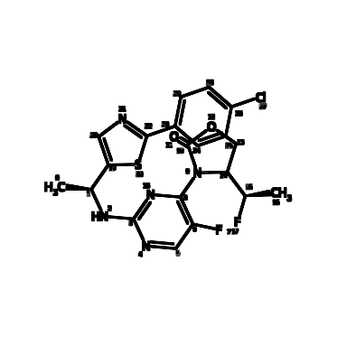 C[C@H](Nc1ncc(F)c(N2C(=O)OCC2[C@@H](C)F)n1)c1cnc(-c2ccc(Cl)cc2)s1